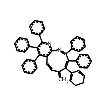 C=C1/C=C\c2c(nc(-c3ccccc3)c(-c3ccccc3)c2-c2ccccc2)/N=C(c2ccccc2)\C(c2ccccc2)=C/1C1=CCCC=C1